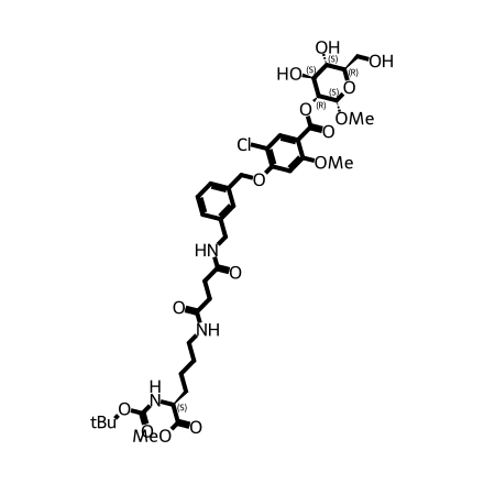 COC(=O)[C@H](CCCCNC(=O)CCC(=O)NCc1cccc(COc2cc(OC)c(C(=O)O[C@H]3[C@@H](OC)O[C@H](CO)[C@@H](O)[C@@H]3O)cc2Cl)c1)NC(=O)OC(C)(C)C